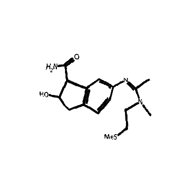 CSCCN(C)C(C)=Nc1ccc2c(c1)C(C(N)=O)C(O)C2